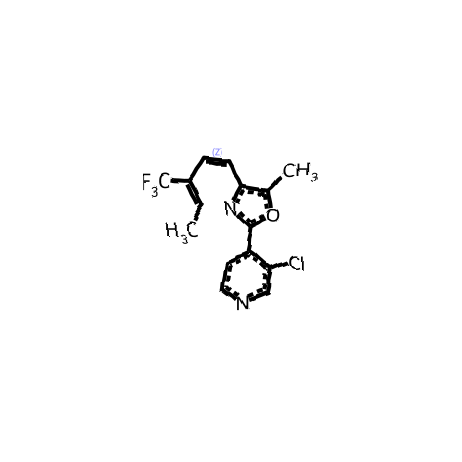 CC=C(/C=C\c1nc(-c2ccncc2Cl)oc1C)C(F)(F)F